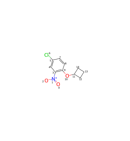 O=[N+]([O-])c1cc(Cl)ccc1OC1CCC1